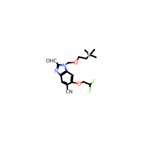 C[Si](C)(C)CCOCn1c(C=O)nc2cc(C#N)c(OCC(F)F)cc21